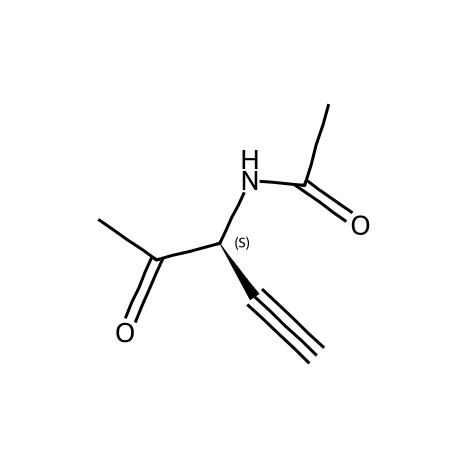 C#C[C@H](NC(C)=O)C(C)=O